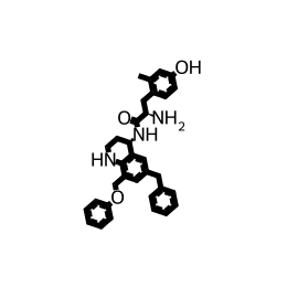 Cc1cc(O)ccc1C[C@H](N)C(=O)N[C@@H]1CCNc2c(COc3ccccc3)cc(Cc3ccccc3)cc21